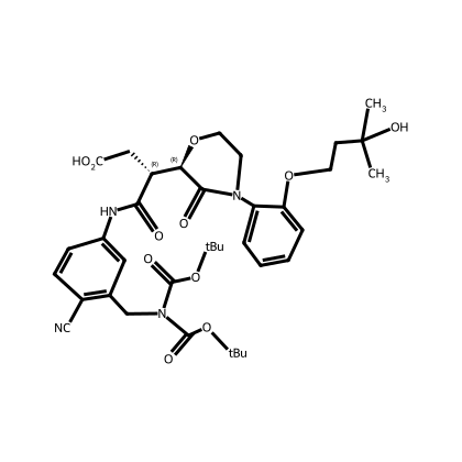 CC(C)(O)CCOc1ccccc1N1CCO[C@H]([C@@H](CC(=O)O)C(=O)Nc2ccc(C#N)c(CN(C(=O)OC(C)(C)C)C(=O)OC(C)(C)C)c2)C1=O